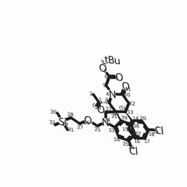 C=C(C)[C@@H]1N(CC(=O)OC(C)(C)C)C(=O)C[C@@H](c2cccc(Cl)c2)[C@]12C(=O)N(COCC[Si](C)(C)C)c1cc(Cl)ccc12